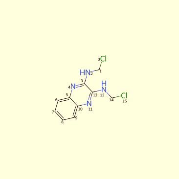 ClCNc1nc2ccccc2nc1NCCl